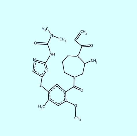 C=CC(=O)N1CCCN(C(=O)c2cc(Sc3cnc(NC(=O)N(C)C)s3)c(C)cc2OC)CC1C